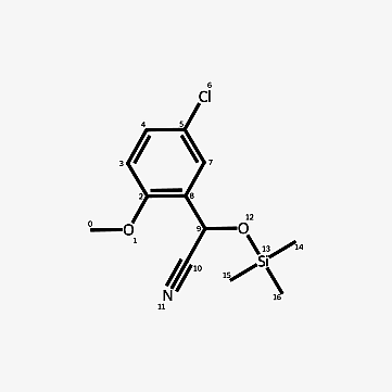 COc1ccc(Cl)cc1C(C#N)O[Si](C)(C)C